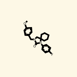 COc1ccc(CN2CC3(CCCCC3)N(c3ccc(F)cc3)C2=O)cc1